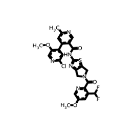 COc1cnc(C(=O)N2Cc3nc(NC(=O)c4cnc(C)cc4-c4cc(Cl)ncc4OC)sc3C2)c(C(F)F)c1